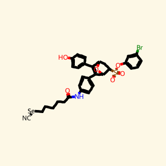 N#C[Se]CCCCCC(=O)Nc1ccc(C2=C(c3ccc(O)cc3)C3CC(S(=O)(=O)Oc4cccc(Br)c4)C2O3)cc1